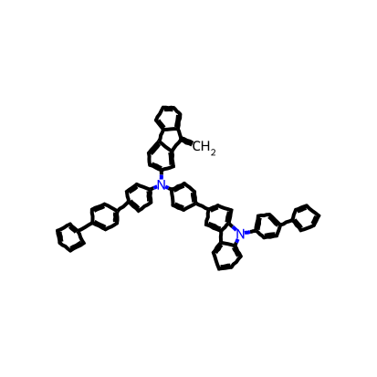 C=C1c2ccccc2-c2ccc(N(c3ccc(-c4ccc(-c5ccccc5)cc4)cc3)c3ccc(-c4ccc5c(c4)c4ccccc4n5-c4ccc(-c5ccccc5)cc4)cc3)cc21